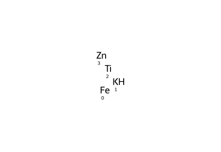 [Fe].[KH].[Ti].[Zn]